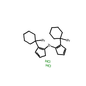 CC(C)C1(C2=[C]([Zr][C]3=C(C4(C(C)C)CCCCC4)C=CC3)CC=C2)CCCCC1.Cl.Cl